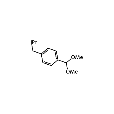 COC(OC)c1ccc(CC(C)C)cc1